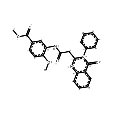 COC(=O)c1ccc(OC)c(NC(=O)Cc2nc3ccccc3c(=O)n2-c2ccccc2)c1